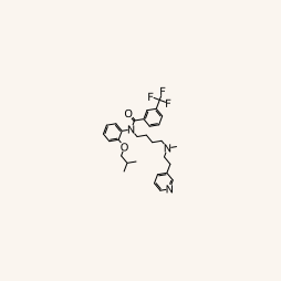 CC(C)COc1ccccc1N(CCCCN(C)CCc1cccnc1)C(=O)c1cccc(C(F)(F)F)c1